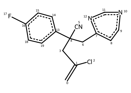 C=C(Cl)CC(C#N)(Cc1ccncn1)c1ccc(F)cc1